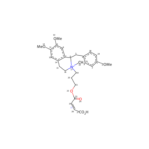 COc1ccc(CC2c3cc(OC)c(OC)cc3CC[N+]2(C)CCCOC(=O)/C=C\C(=O)O)cc1